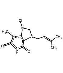 CC(C)=CCN1CN(Cl)c2c1c(=O)[nH]c(=O)n2C